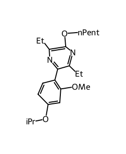 CCCCCOc1nc(CC)c(-c2ccc(OC(C)C)cc2OC)nc1CC